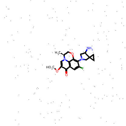 C[C@H]1COc2c(N3CC(N)C4(CC4)C3)c(F)cc3c(=O)c(OC(=O)O)cn1c23